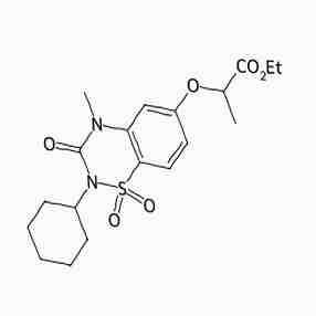 CCOC(=O)C(C)Oc1ccc2c(c1)N(C)C(=O)N(C1CCCCC1)S2(=O)=O